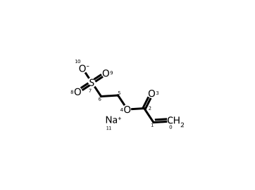 C=CC(=O)OCCS(=O)(=O)[O-].[Na+]